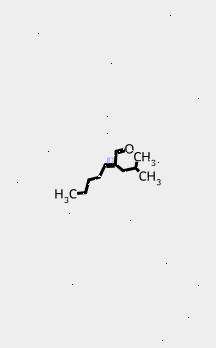 CCCC/C=C(/C=O)CC(C)C